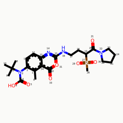 Cc1c(N(C(=O)O)C(C)(C)C)ccc2nc(NCCC(C(=O)N3CCCC3)S(C)(=O)=O)oc(=O)c12